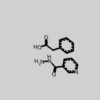 NNC(=O)c1cccnc1.O=C(O)Cc1ccccc1